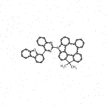 CC1(C)c2cccc3c4ccccc4c4cccc5c4c4c(c1ccc4n5-c1nc(-c4cccc5c4oc4ccccc45)c4ccccc4n1)c23